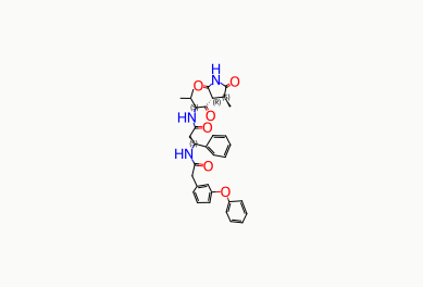 CC(C)[C@H](NC(=O)C[C@H](NC(=O)Cc1cccc(Oc2ccccc2)c1)c1ccccc1)C(=O)[C@@H]1C(=O)NC(=O)[C@H]1C